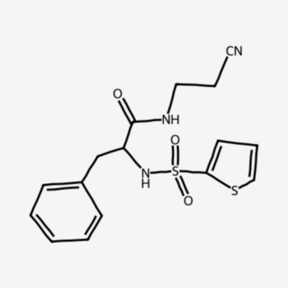 N#CCCNC(=O)C(Cc1ccccc1)NS(=O)(=O)c1cccs1